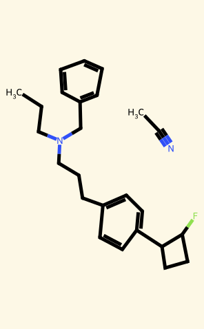 CC#N.CCCN(CCCc1ccc(C2CCC2F)cc1)Cc1ccccc1